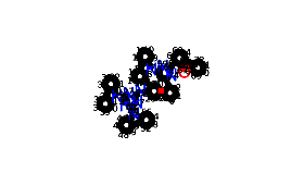 c1ccc(-c2cc(-n3c4ccccc4c4ccc5c(c6ccccc6n5-c5nc(-n6c7ccccc7c7ccccc76)nc(-n6c7ccccc7c7ccccc76)n5)c43)nc(-c3cccc4c3oc3ccccc34)n2)cc1